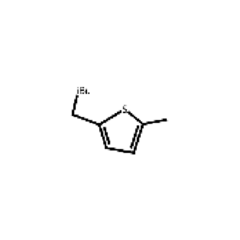 CCC(C)Cc1ccc(C)s1